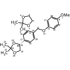 CC1(C)OCCO1.COc1ccc(OCc2ccc([C@@H]3COC(C)(C)O3)cc2)cc1